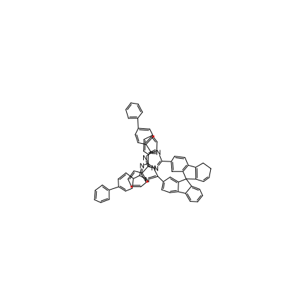 C1=CC2=C(CC1)c1ccc(-c3nc(-c4ccccc4)nc(-c4ccc(-c5ccccc5)cc4)n3)cc1C21c2ccccc2-c2ccc(-c3nc(-c4ccccc4)nc(C4C=CC(c5ccccc5)=CC4)n3)cc21